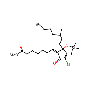 COC(=O)CCCCC/C=C1\C(=O)C(Cl)=CC1(CCC(C)CCCC(C)C)O[Si](C)(C)C